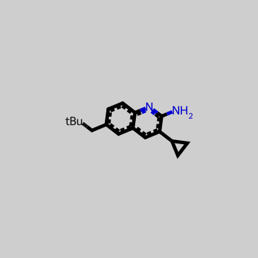 CC(C)(C)Cc1ccc2nc(N)c(C3CC3)cc2c1